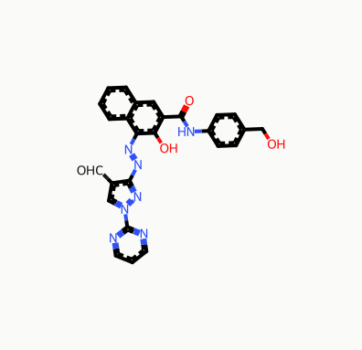 O=Cc1cn(-c2ncccn2)nc1/N=N/c1c(O)c(C(=O)Nc2ccc(CO)cc2)cc2ccccc12